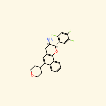 N[C@@H]1Cc2cc(C3CCOCC3)c3ccccc3c2O[C@H]1c1cc(F)c(F)cc1F